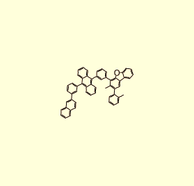 Cc1ccccc1-c1cc2c(oc3ccccc32)c(-c2cccc(-c3c4ccccc4c(-c4cccc(-c5ccc6ccccc6c5)c4)c4ccccc34)c2)c1C